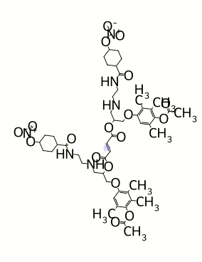 CC(=O)Oc1c(C)cc(OCC(CNCCNC(=O)C2CCC(O[N+](=O)[O-])CC2)OC(=O)/C=C/C(=O)OC(CNCCNC(=O)C2CCC(O[N+](=O)[O-])CC2)COc2cc(C)c(OC(C)=O)c(C)c2C)c(C)c1C